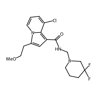 COCCc1cc(C(=O)NCB2CCCC(F)(F)C2)c2c(Cl)cccn12